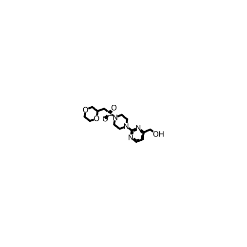 O=S(=O)(CC1COCCO1)N1CCN(c2nccc(CO)n2)CC1